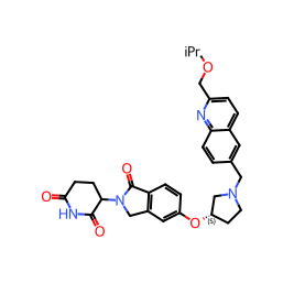 CC(C)OCc1ccc2cc(CN3CC[C@H](Oc4ccc5c(c4)CN(C4CCC(=O)NC4=O)C5=O)C3)ccc2n1